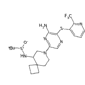 CC(C)(C)[S+]([O-])NC1CN(c2cnc(Sc3cccnc3C(F)(F)F)c(N)n2)CCC12CCC2